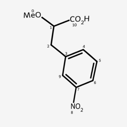 COC(Cc1cccc([N+](=O)[O-])c1)C(=O)O